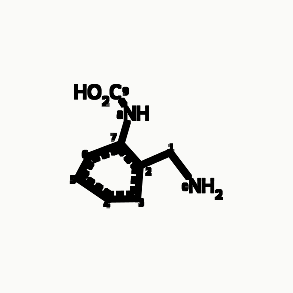 NCc1ccccc1NC(=O)O